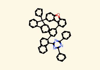 c1ccc(-c2nc(-c3ccccc3)nc(-c3c(-c4ccc(-c5cccc6oc7ccc(C8(c9ccccc9)c9ccccc9-c9ccccc98)cc7c56)cc4)ccc4ccccc34)n2)cc1